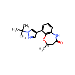 C[C@@H]1CC(=O)Nc2cccc(-c3cnn(C(C)(C)C)c3)c2O1